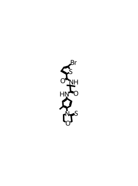 Cc1cc(NC(=O)C(C)(C)NC(=O)c2ccc(Br)s2)ccc1N1CCOCC1=S